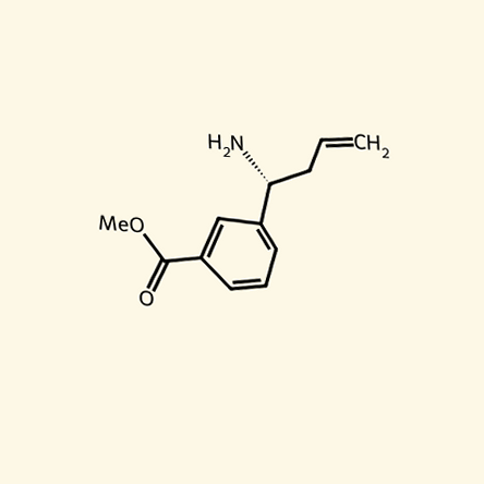 C=CC[C@@H](N)c1cccc(C(=O)OC)c1